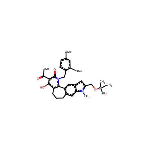 COC(=O)c1c(O)c2c(n(Cc3ccc(OC)cc3OC)c1=O)-c1cc3cc(CO[Si](C)(C)C(C)(C)C)n(C)c3cc1CCC2